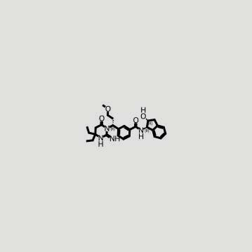 CCC1(CC)CC(=O)N([C@H](CCOC)c2cccc(C(=O)N[C@@H]3c4ccccc4C[C@H]3O)c2)C(=N)N1